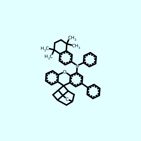 CC1(C)CCC(C)(C)c2cc(N(c3ccccc3)c3cc(-c4ccccc4)cc4c3Oc3ccccc3C43C4CC5CC6CC3C64C5)ccc21